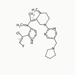 C=C1CCN(c2ncc(CN3CCCC3)cn2)C/C1=C(/C)C(=C)c1cc[nH]c1/C(Cl)=C\F